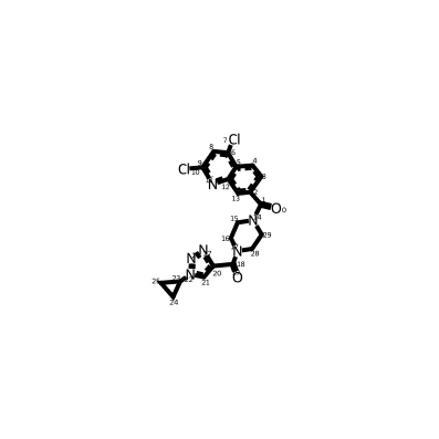 O=C(c1ccc2c(Cl)cc(Cl)nc2c1)N1CCN(C(=O)c2cn(C3CC3)nn2)CC1